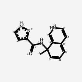 CC1(NC(=O)c2cc[nH]n2)C=CC=C2C=CNC=C21